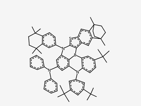 CC(C)(C)c1cc(N2c3ccc(C(C)(C)C)cc3B3c4c2cc(N(c2ccccc2)c2ccccc2)cc4N(c2ccc4c(c2)C(C)(C)CCC4(C)C)c2sc4cc5c(cc4c23)C2(C)CCC5(C)CC2)cc(C(C)(C)C)c1